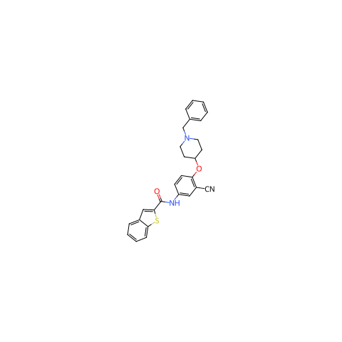 N#Cc1cc(NC(=O)c2cc3ccccc3s2)ccc1OC1CCN(Cc2ccccc2)CC1